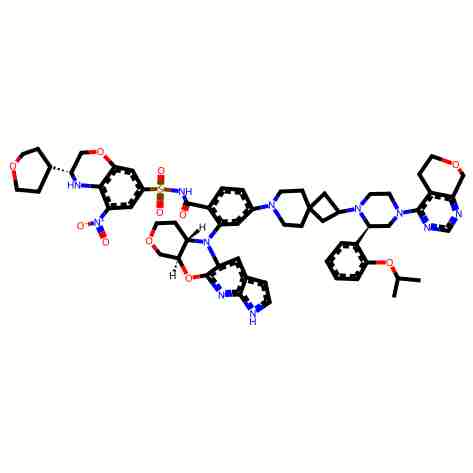 CC(C)Oc1ccccc1[C@@H]1CN(c2ncnc3c2CCOC3)CCN1C1CC2(CCN(c3ccc(C(=O)NS(=O)(=O)c4cc5c(c([N+](=O)[O-])c4)N[C@H](C4CCOCC4)CO5)c(N4c5cc6cc[nH]c6nc5O[C@H]5COCC[C@@H]54)c3)CC2)C1